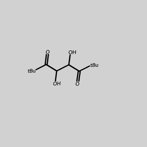 CC(C)(C)C(=O)C(O)C(O)C(=O)C(C)(C)C